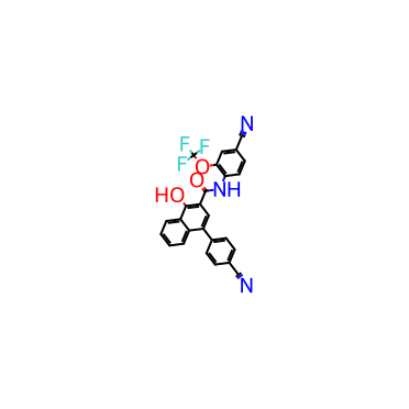 N#Cc1ccc(-c2cc(C(=O)Nc3ccc(C#N)cc3OC(F)(F)F)c(O)c3ccccc23)cc1